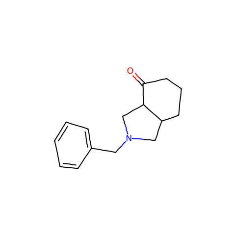 O=C1CCCC2CN(Cc3ccccc3)CC12